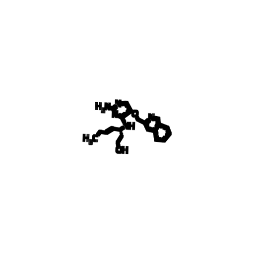 CC/C=C/[C@@H](CCO)Nc1nc(N)ncc1OCc1cc2ccccc2cn1